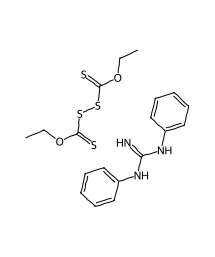 CCOC(=S)SSC(=S)OCC.N=C(Nc1ccccc1)Nc1ccccc1